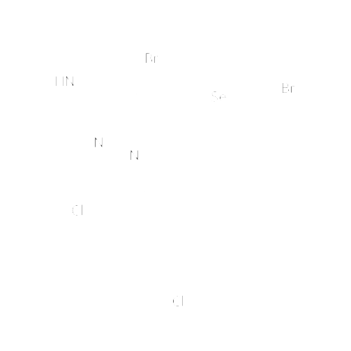 CNc1nn(-c2ccc(Cl)cc2Cl)c(-c2ccc(Br)[se]2)c1Br